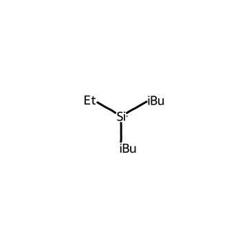 CCC(C)[Si](CC)C(C)CC